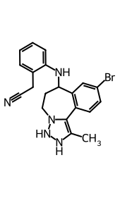 CC1=C2c3ccc(Br)cc3C(Nc3ccccc3CC#N)CCN2NN1